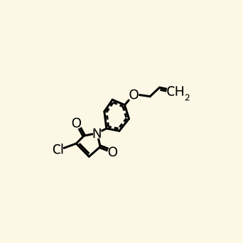 C=CCOc1ccc(N2C(=O)C=C(Cl)C2=O)cc1